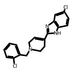 Clc1ccc2[nH]c(C3=CCN(Cc4ccccc4Cl)CC3)nc2c1